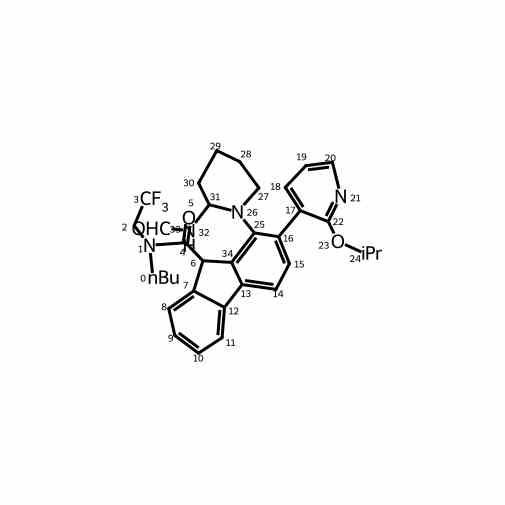 CCCCN(CC(F)(F)F)C(=O)C1c2ccccc2-c2ccc(-c3cccnc3OC(C)C)c(N3CCCCC3NC=O)c21